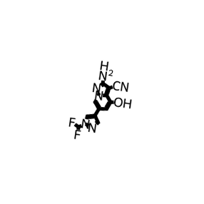 N#Cc1c(N)nn2cc(-c3cnn(C(F)F)c3)cc(O)c12